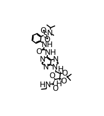 CCNC(=O)[C@H]1O[C@@H](n2cnc3c(NC(=O)Nc4ccccc4S(=O)(=O)N(C)C(C)C)ncnc32)[C@@H]2OC(C)(C)O[C@@H]21